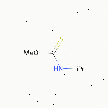 COC(=S)NC(C)C